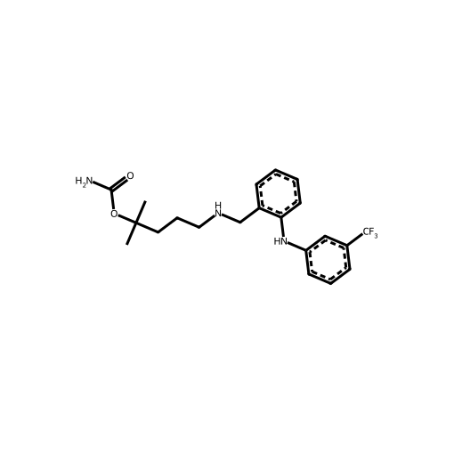 CC(C)(CCCNCc1ccccc1Nc1cccc(C(F)(F)F)c1)OC(N)=O